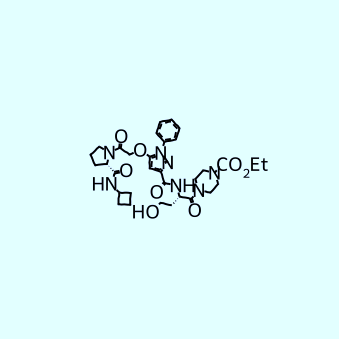 CCOC(=O)N1CCN(C(=O)[C@H](CCO)NC(=O)c2cc(OCC(=O)N3CCC[C@H]3C(=O)NC3CCC3)n(-c3ccccc3)n2)CC1